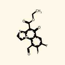 CCOC(=O)c1c(=O)c2cc(F)c(F)c(C=O)c2n2ccsc12